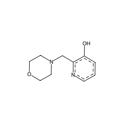 Oc1cccnc1CN1CCOCC1